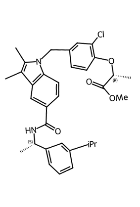 COC(=O)[C@@H](C)Oc1ccc(Cn2c(C)c(C)c3cc(C(=O)N[C@@H](C)c4cccc(C(C)C)c4)ccc32)cc1Cl